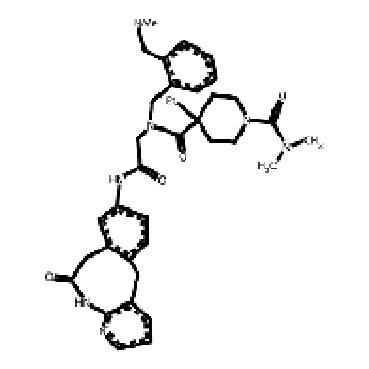 CCC1(C(=O)N(CC(=O)Nc2ccc3c(c2)CC(=O)Nc2ncccc2C3)Cc2ccccc2CNC)CCN(C(=O)N(C)C)CC1